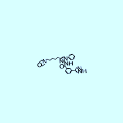 O=C(Nc1nc(CCCCCN2CCOCC2)cn1-c1ccccc1)c1cccc(-c2cn[nH]c2)c1